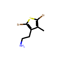 Cc1c(Br)sc(Br)c1CCN